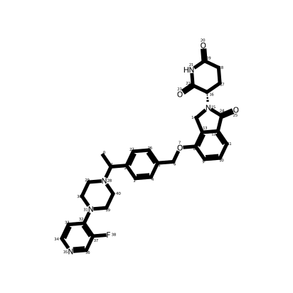 CC(c1ccc(COc2cccc3c2CN([C@H]2CCC(=O)NC2=O)C3=O)cc1)N1CCN(c2ccncc2F)CC1